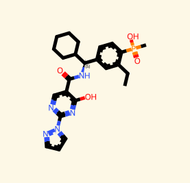 CCc1cc([C@@H](NC(=O)c2cnc(-n3cccn3)nc2O)C2CCCCC2)ccc1P(C)(=O)O